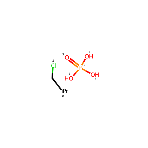 CC(C)CCl.O=P(O)(O)O